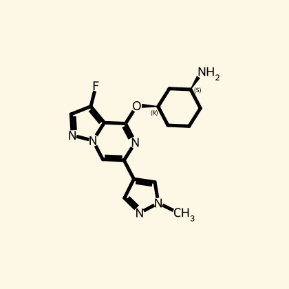 Cn1cc(-c2cn3ncc(F)c3c(O[C@@H]3CCC[C@H](N)C3)n2)cn1